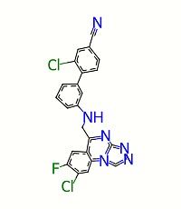 N#Cc1ccc(-c2cccc(NCc3nc4nncn4c4cc(Cl)c(F)cc34)c2)c(Cl)c1